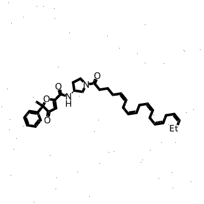 CC/C=C\C/C=C\C/C=C\C/C=C\C/C=C\CCCC(=O)N1CC[C@@H](NC(=O)C2=CC(=O)C(C)(c3ccccc3)O2)C1